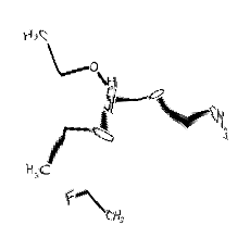 CCO[SiH](OCC)OCC.CF